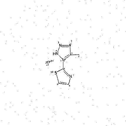 Cc1nn[nH][n+]1-c1nccs1.[O+2]